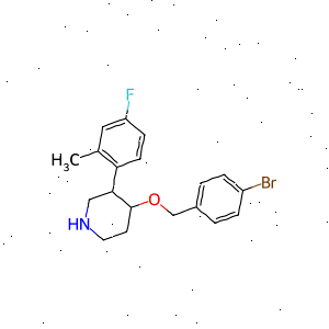 Cc1cc(F)ccc1C1CNCCC1OCc1ccc(Br)cc1